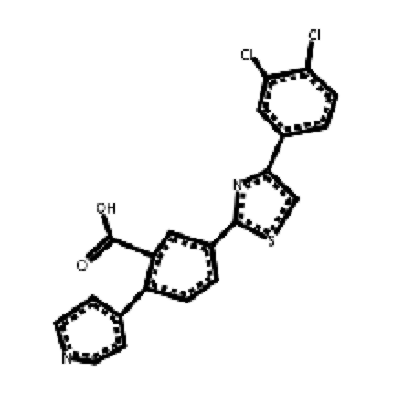 O=C(O)c1cc(-c2nc(-c3ccc(Cl)c(Cl)c3)cs2)ccc1-c1ccncc1